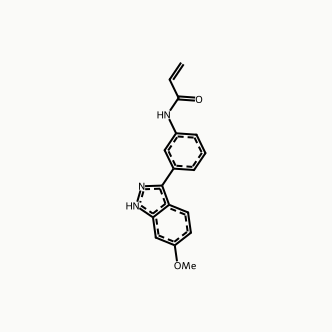 C=CC(=O)Nc1cccc(-c2n[nH]c3cc(OC)ccc23)c1